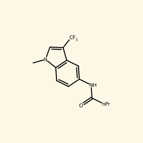 CCCC(=O)Nc1ccc2c(c1)c(C(F)(F)F)cn2C